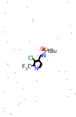 CC(C)(C)[S@+]([O-])/N=C/c1ccnc(C(F)(F)F)c1Cl